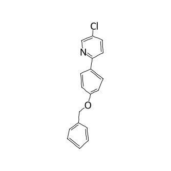 Clc1ccc(-c2ccc(OCc3ccccc3)cc2)nc1